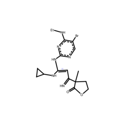 CCNc1nc(N/C(=C/C(=N)C2(C)CCOC2=O)NC2CC2)ncc1Br